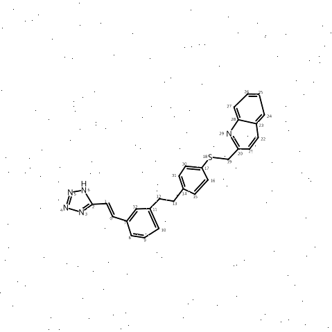 C(=Cc1nnn[nH]1)c1cccc(CCc2ccc(SCc3ccc4ccccc4n3)cc2)c1